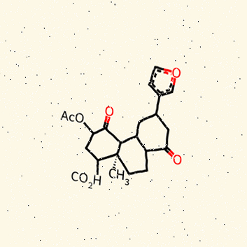 CC(=O)OC1CC(C(=O)O)[C@]2(C)CCC3C(=O)CC(c4ccoc4)CC3C2C1=O